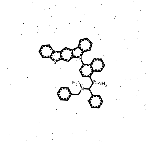 N[C@@H](c1ccc(-n2c3ccccc3c3cc4c(cc32)sc2ccccc24)c2ccccc12)C(c1ccccc1)N(N)Cc1ccccc1